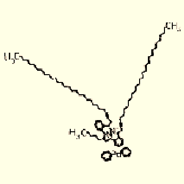 CCCCCCCCCCCCCCCCCCCCCCCCCCC#CCCc1ccccc1C1=CC(CCCCC)=C(c2ccccc2CCC#CCCCCCCCCCCCCCCCCCCCCCCCCCC)[N+]1=[N-].c1cc[c]([Pd][c]2ccccc2)cc1